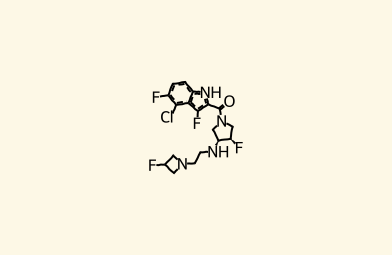 O=C(c1[nH]c2ccc(F)c(Cl)c2c1F)N1C[C@@H](F)[C@@H](NCCN2CC(F)C2)C1